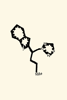 CNCCC(c1cc2ccccc2s1)n1ncnn1